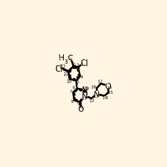 Cc1c(Cl)cc(-c2ccc(=O)n(CN3CCOCC3)n2)cc1Cl